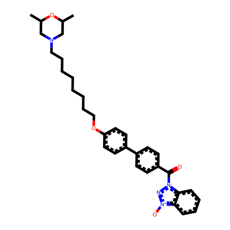 CC1CN(CCCCCCCCOc2ccc(-c3ccc(C(=O)n4n[n+]([O-])c5ccccc54)cc3)cc2)CC(C)O1